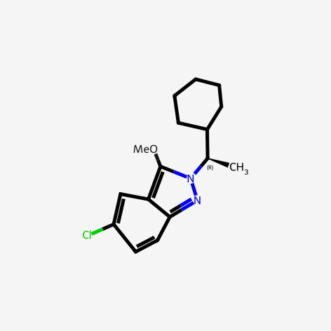 COc1c2cc(Cl)ccc2nn1[C@H](C)C1CCCCC1